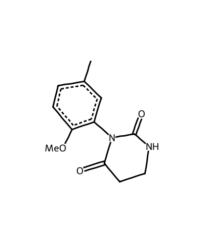 COc1ccc(C)cc1N1C(=O)CCNC1=O